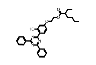 CCCCC(CC)C(=O)OCCOc1ccc(-c2nc(-c3ccccc3)nc(-c3ccccc3)n2)c(O)c1